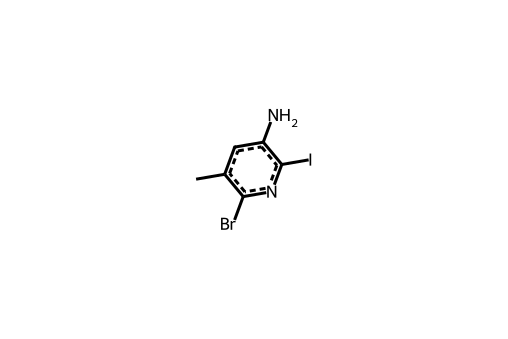 Cc1cc(N)c(I)nc1Br